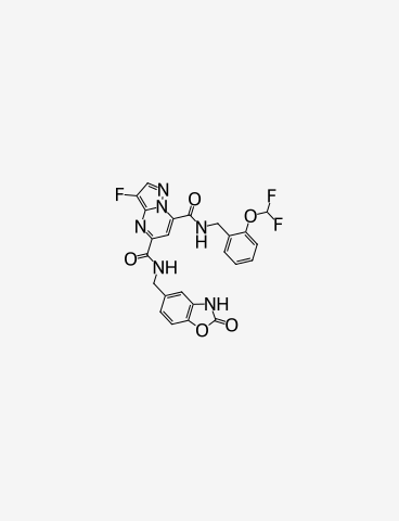 O=C(NCc1ccc2oc(=O)[nH]c2c1)c1cc(C(=O)NCc2ccccc2OC(F)F)n2ncc(F)c2n1